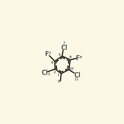 Cc1c(Cl)c(F)c(Cl)c(F)c1Cl